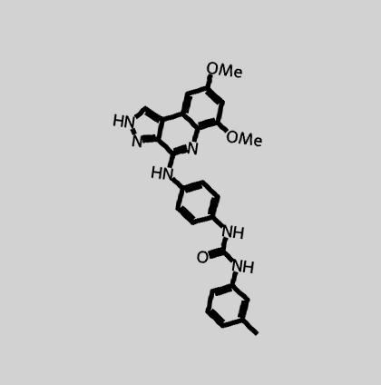 COc1cc(OC)c2nc(Nc3ccc(NC(=O)Nc4cccc(C)c4)cc3)c3n[nH]cc3c2c1